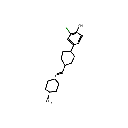 C[C@H]1CC[C@H](/C=C/C2CCC(c3ccc(C#N)c(F)c3)CC2)CC1